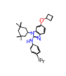 CC(C)c1ccc(Nc2nc3ccc(OC4CCC4)cc3n2C2CC(C)(C)CC(C)(C)C2)cc1